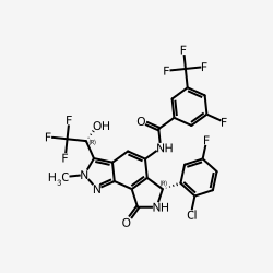 Cn1nc2c3c(c(NC(=O)c4cc(F)cc(C(F)(F)F)c4)cc2c1[C@@H](O)C(F)(F)F)[C@H](c1cc(F)ccc1Cl)NC3=O